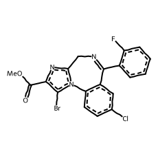 COC(=O)c1nc2n(c1Br)-c1ccc(Cl)cc1C(c1ccccc1F)=NC2